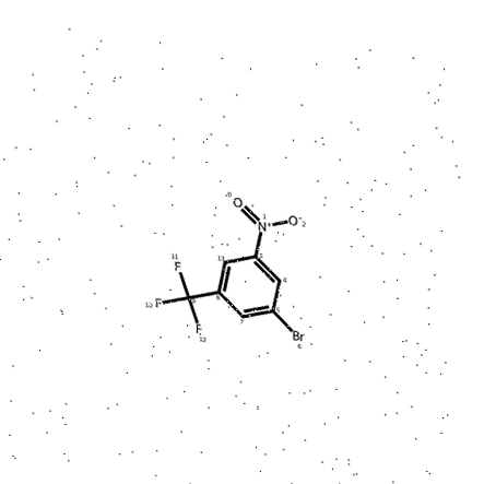 O=[N+]([O-])c1cc(Br)[c]c(C(F)(F)F)c1